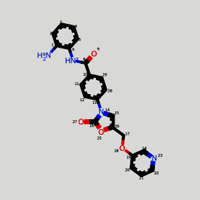 Nc1ccccc1NC(=O)c1ccc(-n2cc(COc3cccnc3)oc2=O)cc1